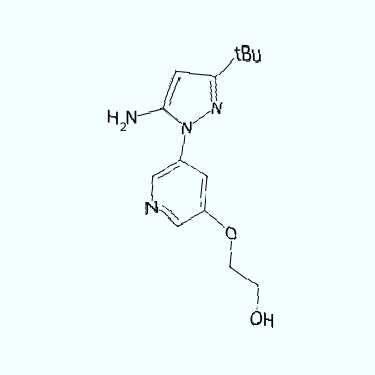 CC(C)(C)c1cc(N)n(-c2cncc(OCCO)c2)n1